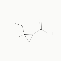 CCC1(C)CC1C(=O)O